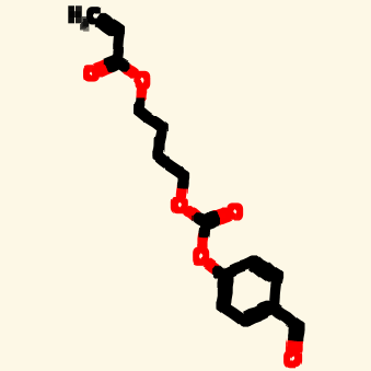 C=CC(=O)OCCCCOC(=O)Oc1ccc(C=O)cc1